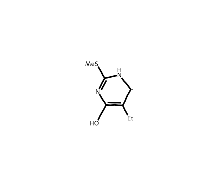 CCC1=C(O)N=C(SC)N[CH]1